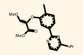 CCCc1ccnc(-c2ccc(C)c(O/C(=C\OC)C(=O)OC)c2)n1